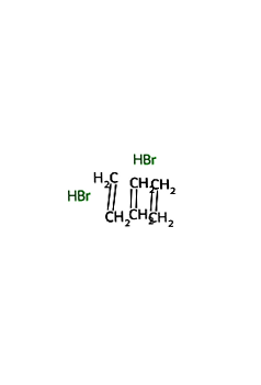 Br.Br.C=C.C=C.C=C